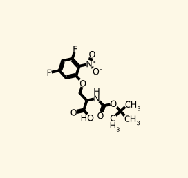 CC(C)(C)OC(=O)NC(COc1cc(F)cc(F)c1[N+](=O)[O-])C(=O)O